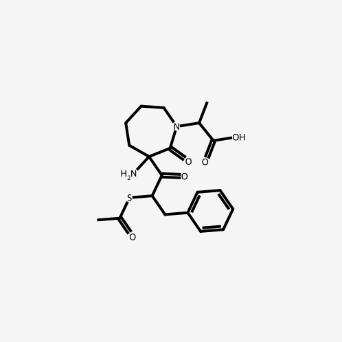 CC(=O)SC(Cc1ccccc1)C(=O)C1(N)CCCCN(C(C)C(=O)O)C1=O